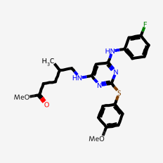 COC(=O)CCC(C)CNc1cc(Nc2cccc(F)c2)nc(Sc2ccc(OC)cc2)n1